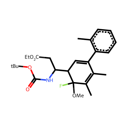 CCOC(=O)CC(NC(=O)OC(C)(C)C)C1C=C(c2ccccc2C)C(C)=C(C)C1(F)OC